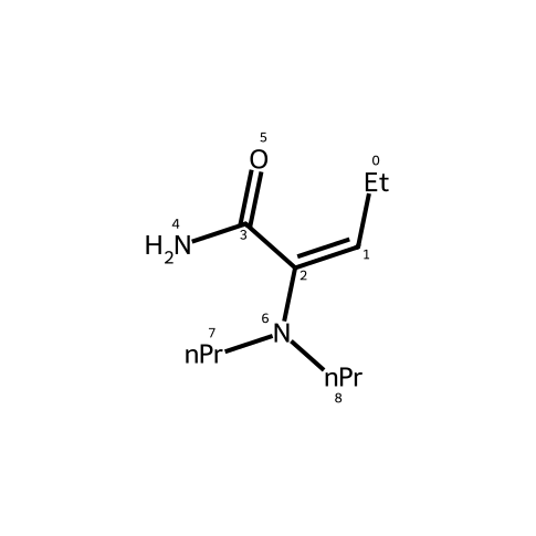 CC/C=C(\C(N)=O)N(CCC)CCC